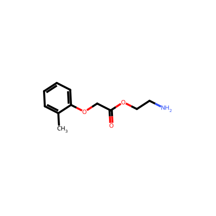 Cc1ccccc1OCC(=O)OCCN